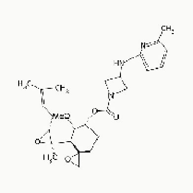 CO[C@@H]1[C@H](OC(=O)N2CC(Nc3cccc(C)n3)C2)CC[C@]2(CO2)[C@H]1[C@@]1(C)O[C@@H]1CC=C(C)C